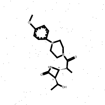 COc1ccc(N2CCN(C(=O)C(C)[C@H]3NC(=O)[C@@H]3C(C)O)CC2)cc1